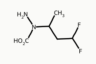 CC(CC(F)F)N(N)C(=O)O